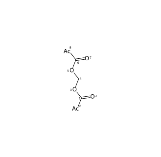 CC(=O)C(=O)OCOC(=O)C(C)=O